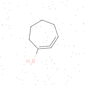 BC1=C=CCCCC1